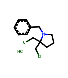 Cl.ClCC1(CCl)CCCN1Cc1ccccc1